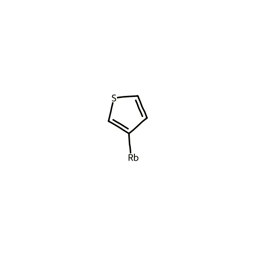 [Rb][c]1ccsc1